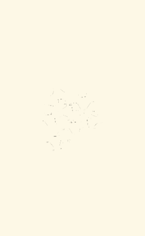 O=P(c1ccccc1)(c1ccccc1)c1ccc(C2(c3ccc4c(c3)Sc3ccccc3S4)c3ccccc3-c3ccccc32)cc1